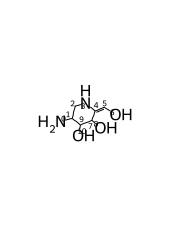 NC1CN/C(=C/O)C(O)C1O